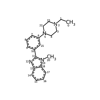 CCN1CCN(c2cccc(-c3nc4ccccc4n3C)c2)CC1